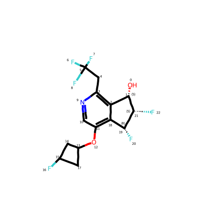 O[C@H]1c2c(CC(F)(F)F)ncc(OC3CC(F)C3)c2[C@@H](F)[C@H]1F